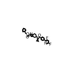 O=C(c1ccc(-c2ncc(F)cc2F)cc1)N(C1CC1)C1CCc2nn(C(=O)OCc3ccccc3)cc2C1